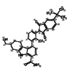 Cc1c(-c2ccc(C(N)=O)c3[nH]c4c(c23)CCC(CO)C4)cccc1N1C(=O)c2ccc(C(C)(C)C)cc2C1=O